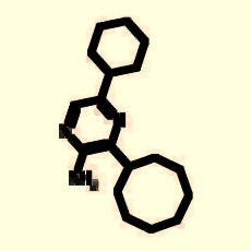 Nc1ncc(C2CCCCC2)nc1C1CCCCCCC1